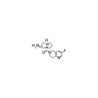 N[C@@H]1C[C@H]2CCC[C@@]2(C(=O)N2CCc3ncc(F)cc3C2)C1